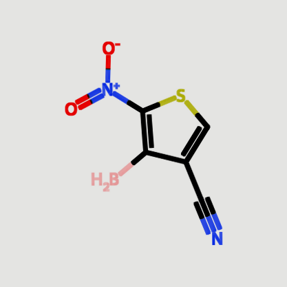 Bc1c(C#N)csc1[N+](=O)[O-]